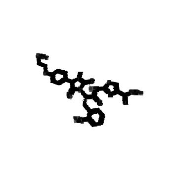 COCCOc1ccc(C2NC(=O)N([C@@H](Cc3ccccc3C#N)C(=O)Nc3nc(C(=O)OC)cs3)C2=O)cc1